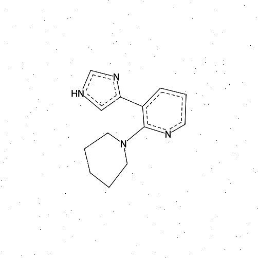 c1cnc(N2CCCCC2)c(-c2c[nH]cn2)c1